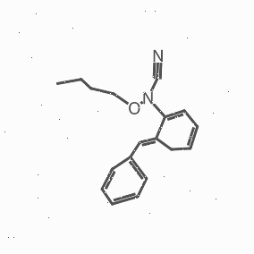 CCCCON(C#N)C1=CC=CCC1=Cc1ccccc1